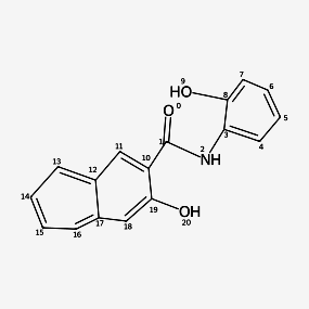 O=C(Nc1ccccc1O)c1cc2ccccc2cc1O